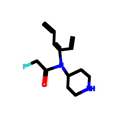 C=C/C=C(\C=C)N(C(=O)CF)C1CCNCC1